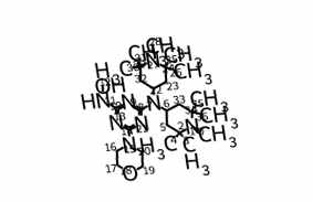 CN1C(C)(C)CC(N(c2nc(NO)nc(N3CCOCC3)n2)C2CC(C)(C)N(C)C(C)(C)C2)CC1(C)C